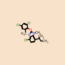 C=C(CC)c1ccc(Cl)c2nc(Oc3c(C)cc(Cl)cc3Cl)n(C)c12